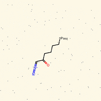 CCCCCCCCCC(=O)C=[N+]=[N-]